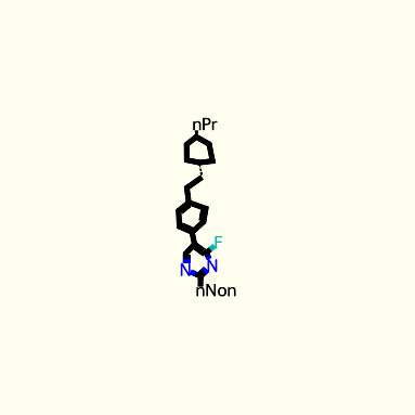 CCCCCCCCCc1ncc(-c2ccc(CC[C@H]3CC[C@H](CCC)CC3)cc2)c(F)n1